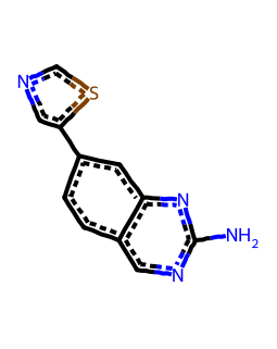 Nc1ncc2ccc(-c3cncs3)cc2n1